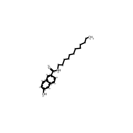 CCCCCCCCCCCCNC(=O)c1ccc2cc(O)ccc2c1